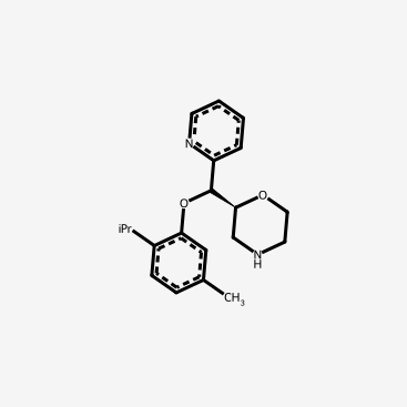 Cc1ccc(C(C)C)c(OC(c2ccccn2)[C@@H]2CNCCO2)c1